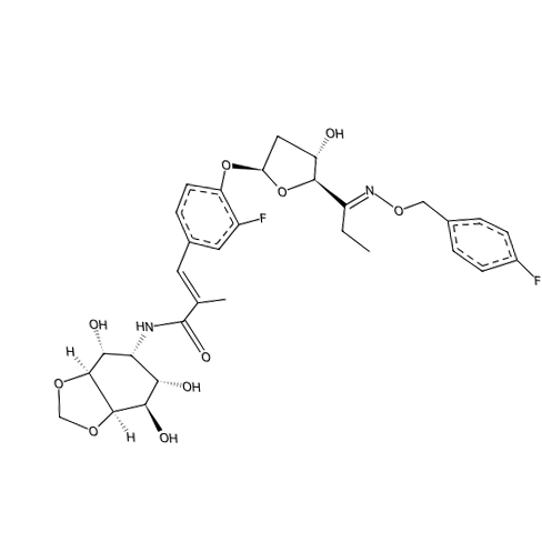 CCC(=NOCc1ccc(F)cc1)[C@H]1O[C@@H](Oc2ccc(C=C(C)C(=O)N[C@@H]3[C@H](O)[C@@H](O)[C@H]4OCO[C@H]4[C@@H]3O)cc2F)C[C@@H]1O